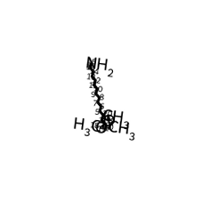 CC[Si](CCCCCCCCCCCCCN)(OC)OC